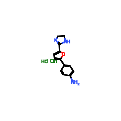 Cl.Cl.Nc1ccc(-c2ccc(C3=NCCN3)o2)cc1